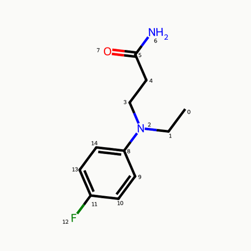 CCN(CCC(N)=O)c1ccc(F)cc1